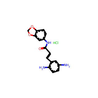 Cl.Nc1ccc(N)c(C=CC(=O)Nc2ccc3c(c2)OCO3)c1